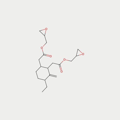 C=C1C(CC)CCC(CC(=O)OCC2CO2)C1CC(=O)OCC1CO1